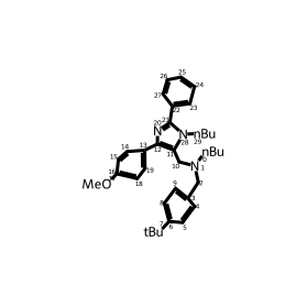 CCCCN(Cc1ccc(C(C)(C)C)cc1)Cc1c(-c2ccc(OC)cc2)nc(-c2ccccc2)n1CCCC